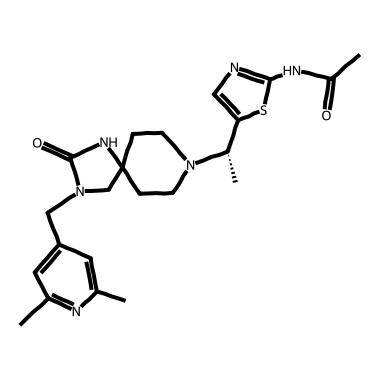 CC(=O)Nc1ncc([C@H](C)N2CCC3(CC2)CN(Cc2cc(C)nc(C)c2)C(=O)N3)s1